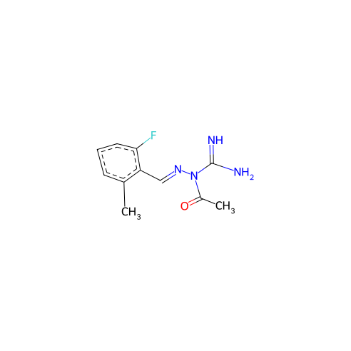 CC(=O)N(/N=C/c1c(C)cccc1F)C(=N)N